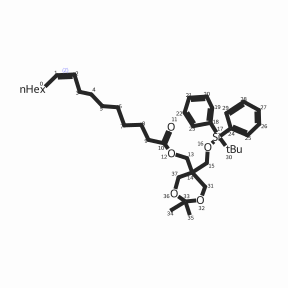 CCCCCC/C=C\CCCCCCCC(=O)OCC1(CO[Si](c2ccccc2)(c2ccccc2)C(C)(C)C)COC(C)(C)OC1